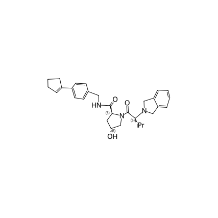 CC(C)[C@@H](C(=O)N1C[C@H](O)C[C@H]1C(=O)NCc1ccc(C2=CCCC2)cc1)N1Cc2ccccc2C1